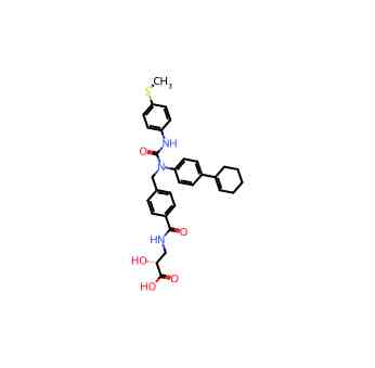 CSc1ccc(NC(=O)N(Cc2ccc(C(=O)NC[C@@H](O)C(=O)O)cc2)c2ccc(C3=CCCCC3)cc2)cc1